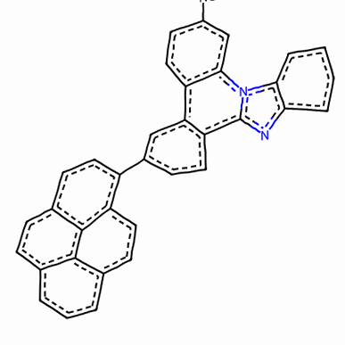 [C-]#[N+]c1ccc2c3cc(-c4ccc5ccc6cccc7ccc4c5c67)ccc3c3nc4ccccc4n3c2c1